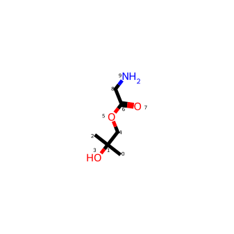 CC(C)(O)COC(=O)CN